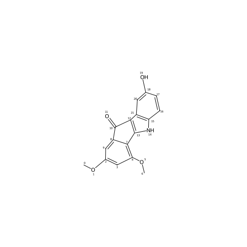 COc1cc(OC)c2c(c1)C(=O)c1c-2[nH]c2ccc(O)cc12